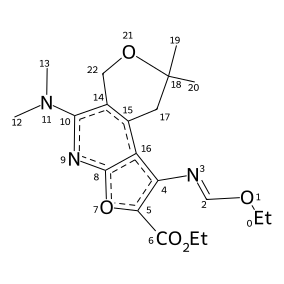 CCOC=Nc1c(C(=O)OCC)oc2nc(N(C)C)c3c(c12)CC(C)(C)OC3